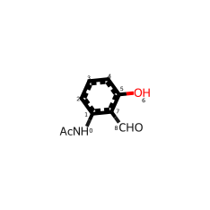 CC(=O)Nc1cccc(O)c1C=O